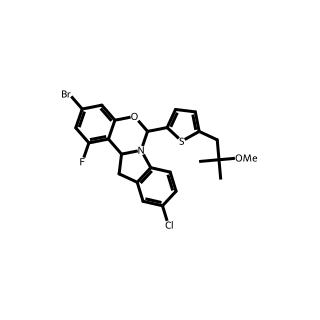 COC(C)(C)Cc1ccc(C2Oc3cc(Br)cc(F)c3C3Cc4cc(Cl)ccc4N32)s1